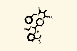 CC(C(=O)OCc1ccccc1)C(N)N1CCC(C(Nc2ccccc2[N+](=O)[O-])OC=O)CC1